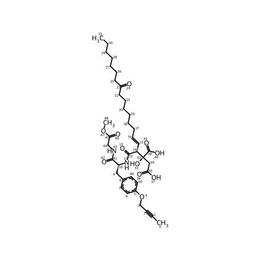 CC#CCOc1ccc(C[C@H](NC(=O)[C@@H](C=CCCCCCCC(=O)CCCCCCC)[C@@](O)(CC(=O)O)C(=O)O)C(=O)NCC(=O)OC)cc1